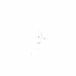 C=CCOS(=O)(=O)OOCCC